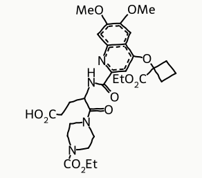 CCOC(=O)N1CCN(C(=O)C(CCC(=O)O)NC(=O)c2cc(OC3(C(=O)OCC)CCC3)c3cc(OC)c(OC)cc3n2)CC1